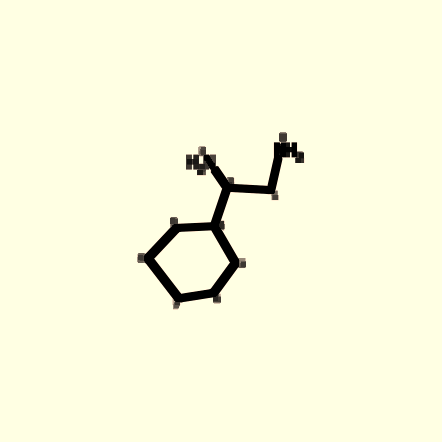 NCC(N)C1CCCCC1